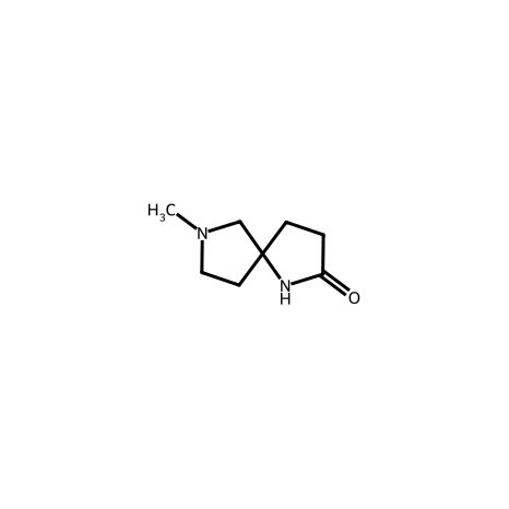 CN1CCC2(CCC(=O)N2)C1